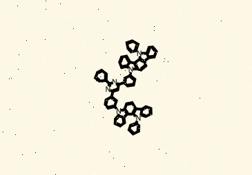 c1ccc(-c2nc(-c3cccc(-n4c5ccccc5c5c4ccc4c6ccccc6n(-c6ccccc6)c45)c3)cc(-c3cccc(-n4c5ccccc5c5c4ccc4c6ccccc6n(-c6ccccc6)c45)c3)n2)cc1